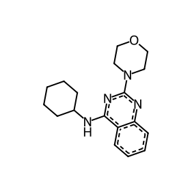 c1ccc2c(NC3CCCCC3)nc(N3CCOCC3)nc2c1